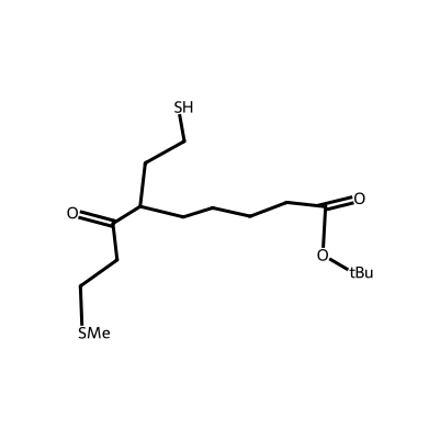 CSCCC(=O)C(CCS)CCCCC(=O)OC(C)(C)C